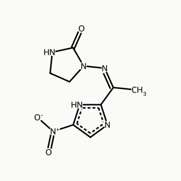 CC(=NN1CCNC1=O)c1ncc([N+](=O)[O-])[nH]1